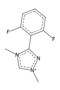 Cn1c[n+](C)nc1-c1c(F)cccc1F